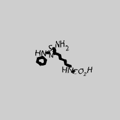 Nc1sc(Nc2ccccc2)nc1CCCCCNC(=O)O